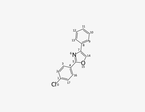 Clc1ccc(-c2nc(-c3ccccc3)co2)cc1